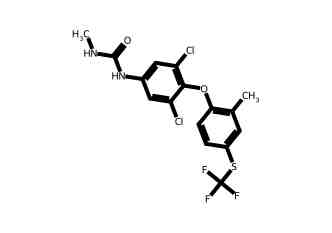 CNC(=O)Nc1cc(Cl)c(Oc2ccc(SC(F)(F)F)cc2C)c(Cl)c1